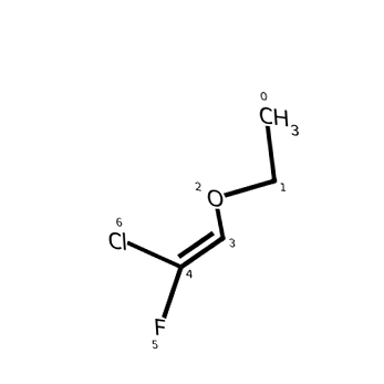 CCOC=C(F)Cl